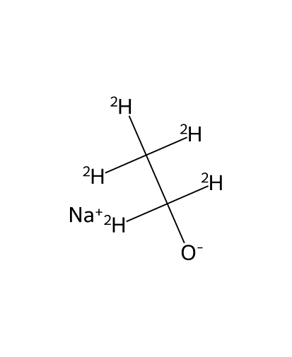 [2H]C([2H])([2H])C([2H])([2H])[O-].[Na+]